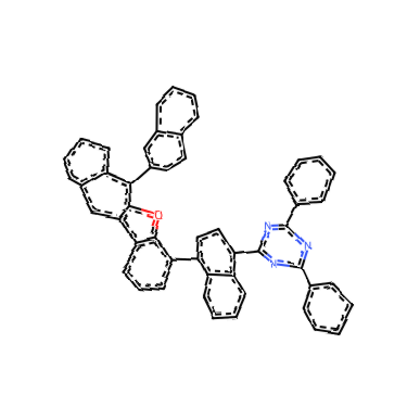 c1ccc(-c2nc(-c3ccccc3)nc(-c3ccc(-c4cccc5c4oc4c(-c6ccc7ccccc7c6)c6ccccc6cc45)c4ccccc34)n2)cc1